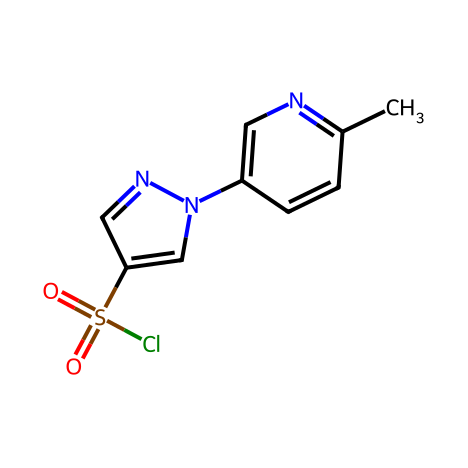 Cc1ccc(-n2cc(S(=O)(=O)Cl)cn2)cn1